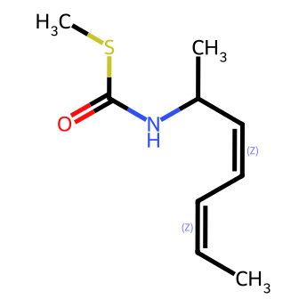 C/C=C\C=C/C(C)NC(=O)SC